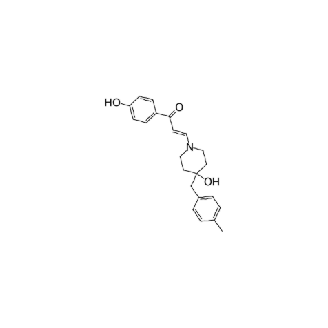 Cc1ccc(CC2(O)CCN(/C=C/C(=O)c3ccc(O)cc3)CC2)cc1